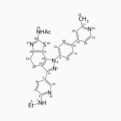 CCNc1ccc(-c2nn(-c3ccc(-c4ccnc(C)c4)cc3)c3c2CCc2nc(NC(C)=O)sc2-3)cn1